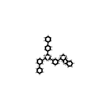 c1ccc(-c2ccc(-c3nc(-c4cccc(-c5ccccc5)c4)nc(-c4cccc(-c5ncnc6c5sc5ccccc56)c4)n3)cc2)cc1